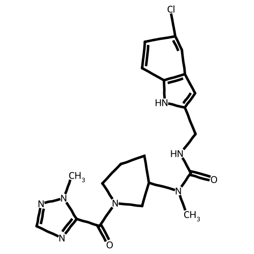 CN(C(=O)NCc1cc2cc(Cl)ccc2[nH]1)C1CCCN(C(=O)c2ncnn2C)C1